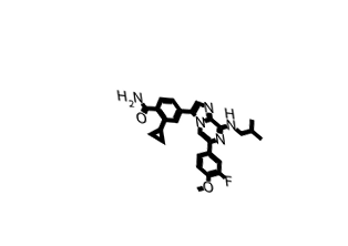 COc1ccc(-c2cn3c(-c4ccc(C(N)=O)c(C5CC5)c4)cnc3c(NCC(C)C)n2)cc1F